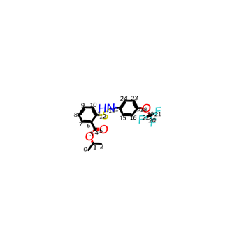 CC(C)OC(=O)c1ccccc1SNc1ccc(OC(F)(F)F)cc1